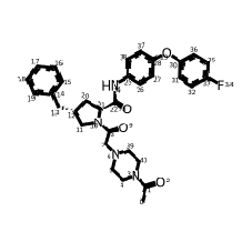 CC(=O)N1CCN(CC(=O)N2C[C@H](Cc3ccccc3)C[C@H]2C(=O)Nc2ccc(Oc3ccc(F)cc3)cc2)CC1